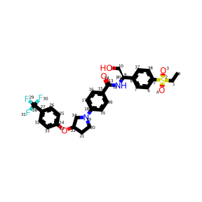 CCS(=O)(=O)c1ccc([C@H](CO)NC(=O)c2ccc(N3CCC(Oc4ccc(C(F)(F)F)cc4)C3)cc2)cc1